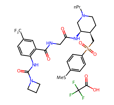 CCCN1CC[C@@H](CS(=O)(=O)c2ccc(SC)cc2)[C@@H](NC(=O)CNC(=O)c2cc(C(F)(F)F)ccc2NC(=O)N2CCC2)C1.O=C(O)C(F)(F)F